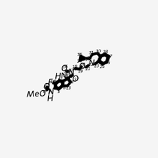 COC(=O)Nc1cc2c(cc1F)C1(CC2)NC(=O)N(CCOCN2Cc3ccccc3CCC2C2CC2)C1=O